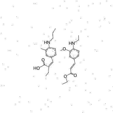 CCCNc1ccc(C=C(CC)C(=O)O)cc1C.CCNc1ccc(C=CC(=O)OCC)cc1OC